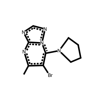 Cc1nc2ncnn2c(N2CCCC2)c1Br